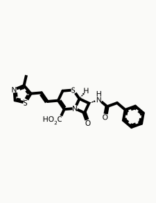 Cc1ncsc1C=CC1=C(C(=O)O)N2C(=O)[C@@H](NC(=O)Cc3ccccc3)[C@@H]2SC1